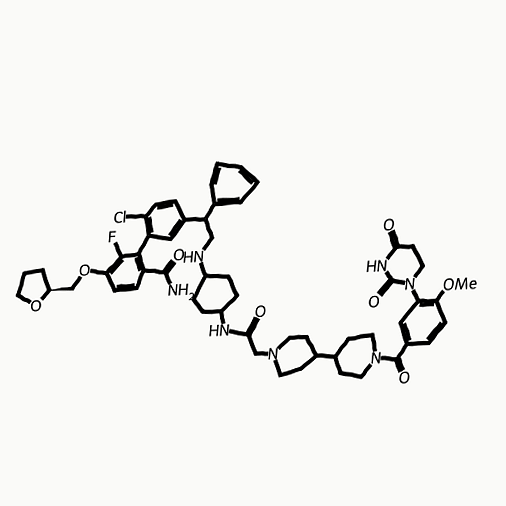 COc1ccc(C(=O)N2CCC(C3CCN(CC(=O)NC4CCC(NCC(c5ccccc5)c5ccc(Cl)c(-c6c(C(N)=O)ccc(OC[C@@H]7CCCO7)c6F)c5)CC4)CC3)CC2)cc1N1CCC(=O)NC1=O